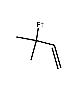 [CH]=CC(C)(C)CC